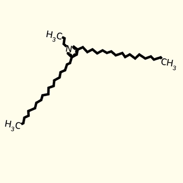 CCCCCCCCCCCCCCCCCCc1cc(CCCCCCCCCCCCCCCCCC)c[n+](CCC)c1